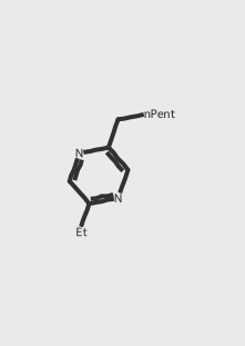 CCCCCCc1cnc(CC)cn1